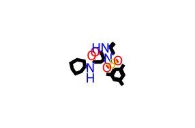 C=C1CN(S(=O)(=O)c2c(C)cc(C)cc2C)C(CC(=O)NC2CCCCCC2)C(=O)N1